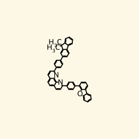 CC1(C)c2ccccc2-c2ccc(-c3ccc(-c4ccc5ccc6ccc(-c7ccc(-c8cccc9c8oc8ccccc89)cc7)nc6c5n4)cc3)cc21